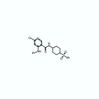 CC(C)Nc1cc(Cl)ncc1C(=O)NC1CCN(S(=O)(=O)C(C)C)CC1